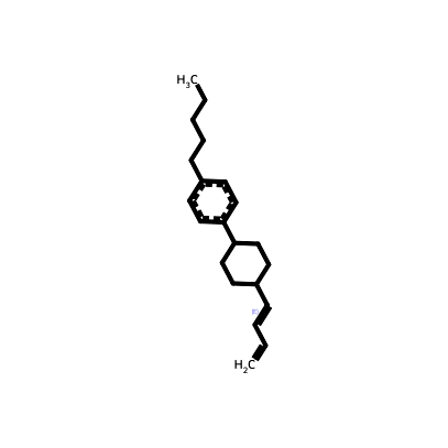 C=C/C=C/C1CCC(c2ccc(CCCCC)cc2)CC1